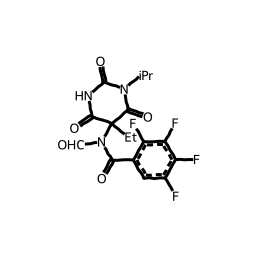 CCC1(N(C=O)C(=O)c2cc(F)c(F)c(F)c2F)C(=O)NC(=O)N(C(C)C)C1=O